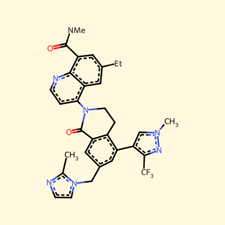 CCc1cc(C(=O)NC)c2nccc(N3CCc4c(cc(Cn5ccnc5C)cc4-c4cn(C)nc4C(F)(F)F)C3=O)c2c1